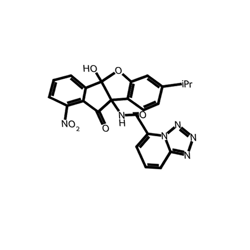 CC(C)c1ccc2c(c1)OC1(O)c3cccc([N+](=O)[O-])c3C(=O)C21NC(=O)c1cccc2nnnn12